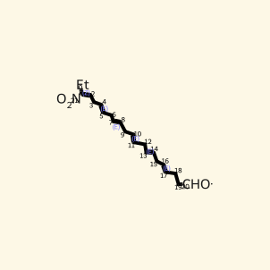 CC/C(=C/C/C=C/C/C=C/C/C=C/C/C=C/C/C=C/CC[C]=O)[N+](=O)[O-]